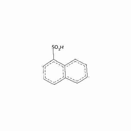 O=S(=O)(O)c1[c]ccc2c[c]ccc12